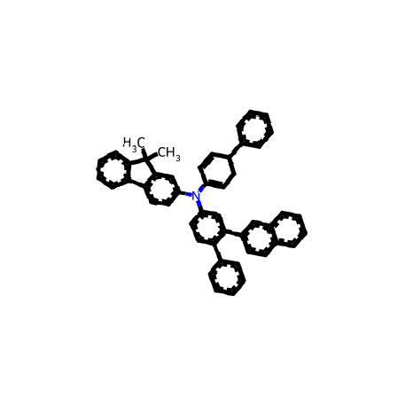 CC1(C)c2ccccc2-c2ccc(N(C3=CCC(c4ccccc4)C=C3)c3ccc(-c4ccccc4)c(-c4ccc5ccccc5c4)c3)cc21